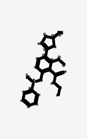 CCOC(=O)c1c(C[S+]([O-])c2ccccc2)ccc(C2=NOC(O)C2)c1OC